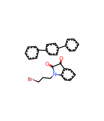 O=C1C(=O)N(CCCBr)c2ccccc21.c1ccc(-c2ccc(-c3ccccc3)cc2)cc1